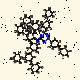 c1ccc(-c2ccc(-c3nc(-c4ccc(-c5ccccc5)cc4)nc(-n4c5ccc(-c6cc(-c7ccccc7)cc(-c7ccccc7)c6)cc5c5cc6c(cc54)C(c4ccccc4)(c4ccccc4)c4ccccc4-6)n3)cc2)cc1